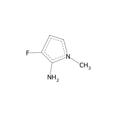 Cn1ccc(F)c1N